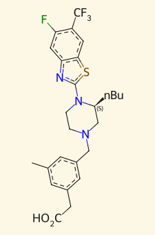 CCCC[C@H]1CN(Cc2cc(C)cc(CC(=O)O)c2)CCN1c1nc2cc(F)c(C(F)(F)F)cc2s1